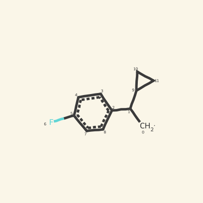 [CH2]C(c1ccc(F)cc1)C1CC1